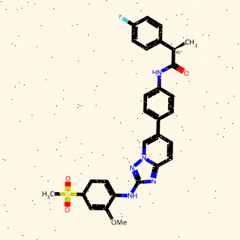 COC1=CC(S(C)(=O)=O)CC=C1Nc1nc2ccc(-c3ccc(NC(=O)[C@H](C)c4ccc(F)cc4)cc3)cn2n1